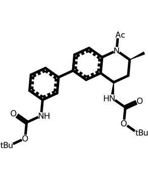 CC(=O)N1c2ccc(-c3cccc(NC(=O)OC(C)(C)C)c3)cc2[C@H](NC(=O)OC(C)(C)C)C[C@@H]1C